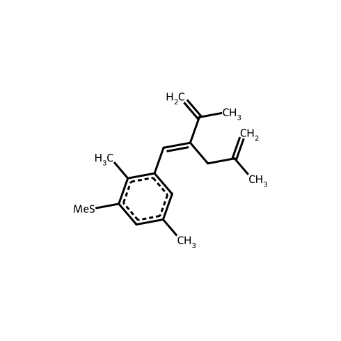 C=C(C)C/C(=C\c1cc(C)cc(SC)c1C)C(=C)C